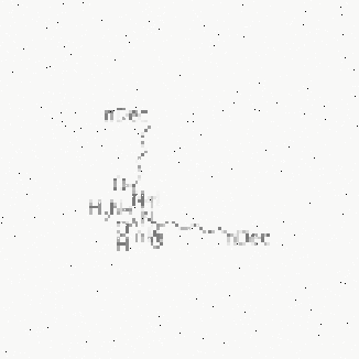 CCCCCCCCCCCCCCCC(=O)NC(N)C(O)(CCC)NC(=O)CCCCCCCCCCCCCCC